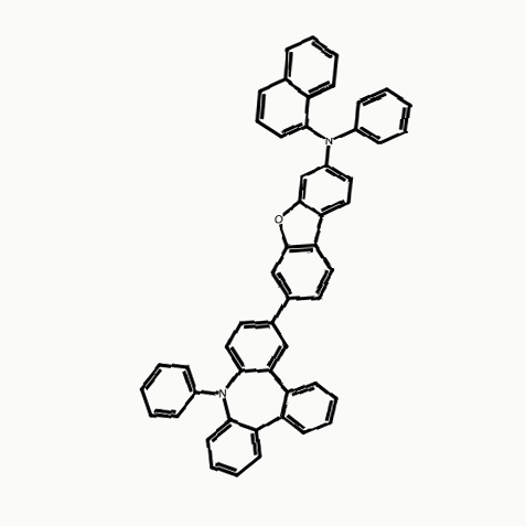 c1ccc(N2c3ccccc3-c3ccccc3-c3cc(-c4ccc5c(c4)oc4cc(N(c6ccccc6)c6cccc7ccccc67)ccc45)ccc32)cc1